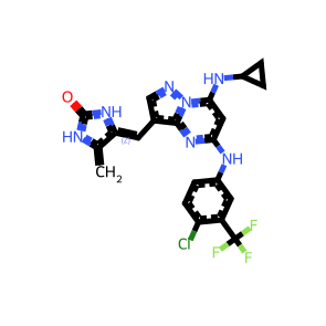 C=c1[nH]c(=O)[nH]/c1=C\c1cnn2c(NC3CC3)cc(Nc3ccc(Cl)c(C(F)(F)F)c3)nc12